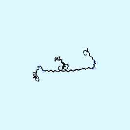 CC(=O)CCCC/C=C\C/C=C\CCCCCCCCC(CCCCCCCC/C=C\C/C=C\CCCOC(C)=O)OC(=O)CCCN(C)C